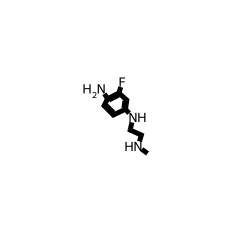 CNCCNc1ccc(N)c(F)c1